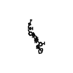 FC12CC(CNCc3ccc4nc(Cn5cc(-c6cc(I)cc7c6cnn7C6CCCCO6)nn5)cn4c3)(C1)C2